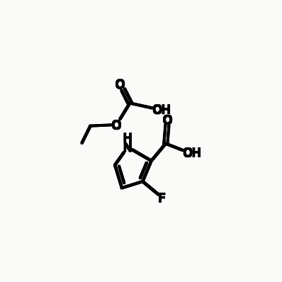 CCOC(=O)O.O=C(O)c1[nH]ccc1F